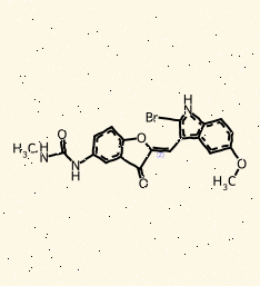 CNC(=O)Nc1ccc2c(c1)C(=O)/C(=C/c1c(Br)[nH]c3ccc(OC)cc13)O2